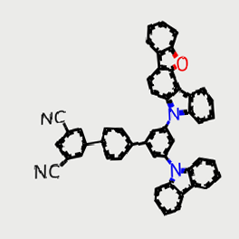 N#Cc1cc(C#N)cc(-c2ccc(-c3cc(-n4c5ccccc5c5ccccc54)cc(-n4c5ccccc5c5c6oc7ccccc7c6ccc54)c3)cc2)c1